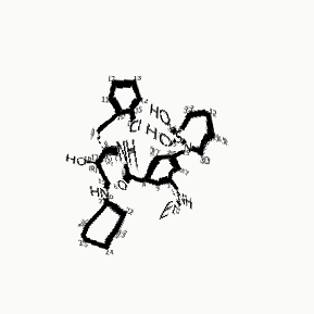 CCNc1cc(C(=O)N[C@@H](Cc2ccccc2Cl)[C@H](O)CNC2CCCCC2)cc(N2CCCCS2(O)O)c1